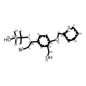 CC(C)(C[C@@H](CBr)c1ccc(OCc2ccccc2)c(CO)c1)[Si](C)(C)O